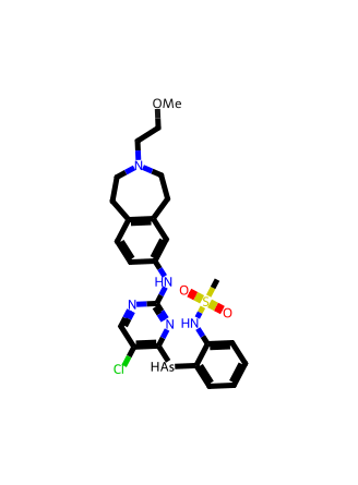 COCCN1CCc2ccc(Nc3ncc(Cl)c([AsH]c4ccccc4NS(C)(=O)=O)n3)cc2CC1